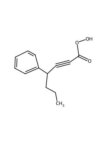 CCCC(C#CC(=O)OO)c1ccccc1